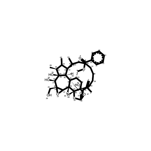 C=C(C)[C@]12C[C@@H](COC(=O)c3ccccc3)[C@@]34OC5(O[C@@H]1[C@@H]3C1O[C@]1(CO)[C@@H](O)[C@@]1(O)[C@H]4[C@@H](C(C)CCCCCC[C@H]5O)C(C)[C@@H]1C)O2